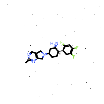 Cc1ncc2c(n1)CN(C1CC[C@H](C3CC(F)=C(F)C=C3F)C(N)C1)C2